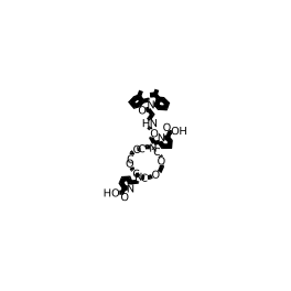 C=C(C)c1ccccc1N(Cc1ccccc1C)C(=O)CCNCOCC(c1cccc(C(=O)O)n1)N1CCOCCOCCN(Cc2cccc(C(=O)O)n2)CCOCCOCC1